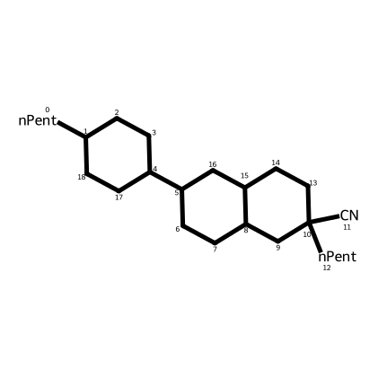 CCCCCC1CCC(C2CCC3CC(C#N)(CCCCC)CCC3C2)CC1